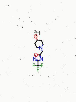 [2H]OC1CCN(Cc2nc(C(F)(F)F)no2)CC1